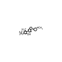 CCN1CCC[C@@H](N2CCc3cc(-c4c(C)cc(OC(F)(F)F)cc4O)nnc32)C1